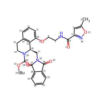 Cc1cc(C(=O)NCCOc2cccc3c2[C@@H](CN2C(=O)c4ccccc4C2=O)N(C(=O)OC(C)(C)C)CC3)no1